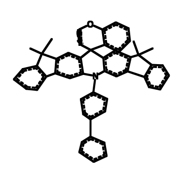 CC1(C)c2ccccc2-c2cc3c(cc21)C1(c2ccccc2Oc2ccccc21)c1cc2c(cc1N3c1ccc(-c3ccccc3)cc1)-c1ccccc1C2(C)C